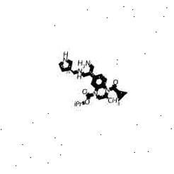 CC(C)OC(=O)N1C[C@H](C)N(C(=O)C2CC2)c2ccc(C(CN)CNC[C@H]3CCNC3)cc21